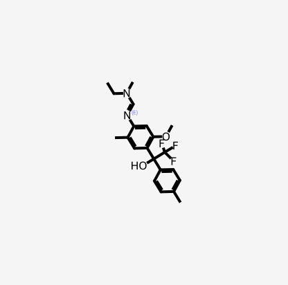 CCN(C)/C=N/c1cc(OC)c(C(O)(c2ccc(C)cc2)C(F)(F)F)cc1C